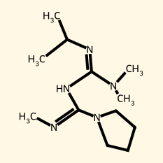 C/N=C(\N/C(=N\C(C)C)N(C)C)N1CCCC1